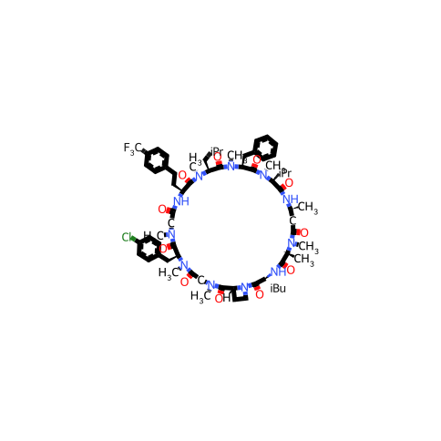 CC[C@H](C)[C@@H]1NC(=O)[C@H](C)N(C)C(=O)C[C@@H](C)NC(=O)[C@H](C(C)C)N(C)C(=O)[C@H](Cc2ccccc2)N(C)C(=O)[C@H](CC(C)C)N(C)C(=O)[C@H](CCc2ccc(C(F)(F)F)cc2)NC(=O)CN(C)C(=O)[C@H](Cc2ccc(Cl)cc2)N(C)C(=O)CN(C)C(=O)[C@@H]2CCN2C1=O